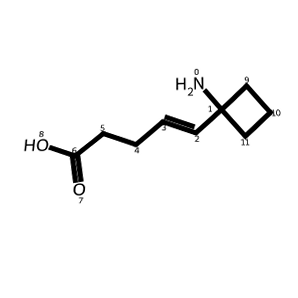 NC1(/C=C/CCC(=O)O)CCC1